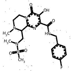 CN1CCn2c(nc(C(=O)NCc3ccc(F)cc3)c(O)c2=O)C1CN(C)S(C)(=O)=O